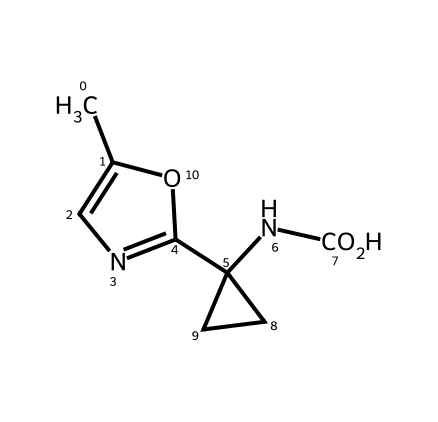 Cc1cnc(C2(NC(=O)O)CC2)o1